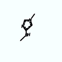 CBc1cn(C)cn1